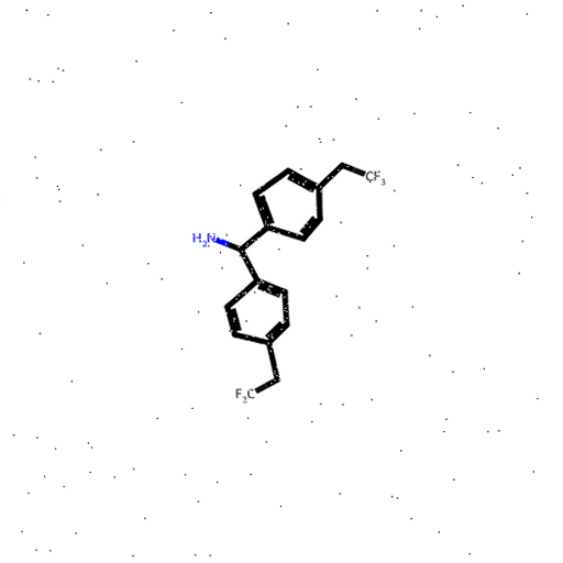 NC(c1ccc(CC(F)(F)F)cc1)c1ccc(CC(F)(F)F)cc1